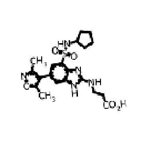 Cc1noc(C)c1-c1cc(S(=O)(=O)NC2CCCC2)c2nc(NCCC(=O)O)[nH]c2c1